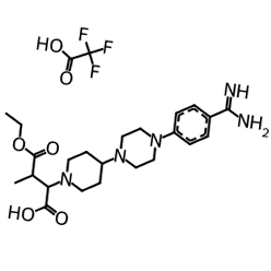 CCOC(=O)C(C)C(C(=O)O)N1CCC(N2CCN(c3ccc(C(=N)N)cc3)CC2)CC1.O=C(O)C(F)(F)F